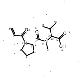 C=CC(=O)N1CCC[C@H]1C(=O)N(C)[C@H](C(=O)O)C(C)C